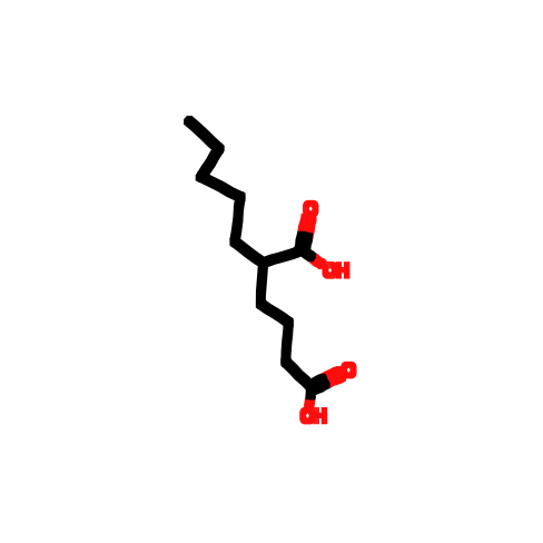 CCCCCC(CCCC(=O)O)C(=O)O